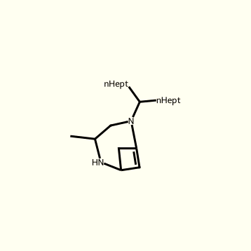 CCCCCCCC(CCCCCCC)N1CC(C)NC2C=C1C2